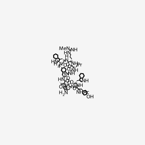 CNC(=N)NCCC[C@H](NC(=O)[C@H](CC(C)C)NC(=O)NNC(=O)[C@H](Cc1cccc(F)c1)NC(=O)[C@@H](NC(=O)[C@H](CC(N)=O)NC(=O)[C@H](Cc1c[nH]c2ccccc12)NC(=O)[C@@H](Cc1ccc(O)cc1)NC(C)=O)[C@@H](C)O)C(=O)N[C@@H](Cc1c[nH]c2ccccc12)C(N)=O